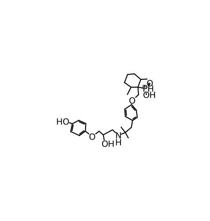 CC1CCCC(C)C1(COc1ccc(CC(C)(C)NCC(O)COc2ccc(O)cc2)cc1)[P@@H](=O)O